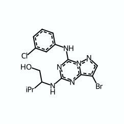 CC(C)C(CO)Nc1nc(Nc2cccc(Cl)c2)n2ncc(Br)c2n1